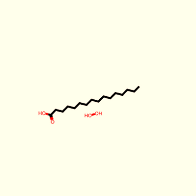 CCCCCCCCCCCCCCCC(=O)O.OO